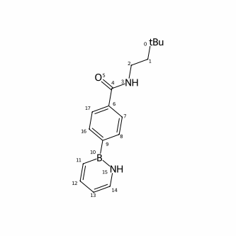 CC(C)(C)CCNC(=O)c1ccc(B2C=CC=CN2)cc1